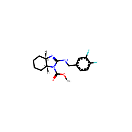 CC(C)(C)OC(=O)N1C(NCc2ccc(F)c(F)c2)=N[C@H]2CCCC[C@H]21